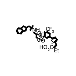 CCC(=Cc1ccc(-c2cc(C(F)(F)F)cc(S(=O)(=O)N(C)CC(O)CNC(C)(C)CC3Cc4ccccc4C3)c2)s1)C(=O)O